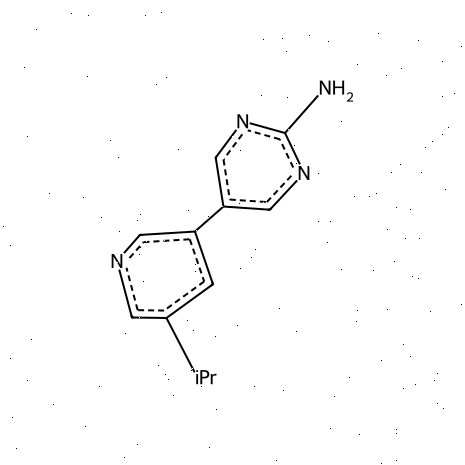 CC(C)c1cncc(-c2cnc(N)nc2)c1